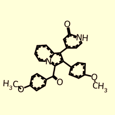 COc1ccc(C(=O)c2c(-c3ccc(OC)cc3)c(-c3cc[nH]c(=O)c3)c3ccccn23)cc1